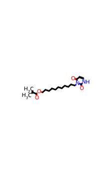 C=C(C)C(=O)OCCCCCCCCCCCn1c(=O)cc[nH]c1=O